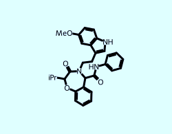 COc1ccc2[nH]cc(CCN3C(=O)C(C(C)C)Oc4ccccc4C3C(=O)Nc3ccccc3)c2c1